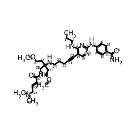 CCCNc1nc(Nc2ccc(C(N)=O)cc2)ncc1C#CCCCNC(CCOC)(CCOC)CNC(=O)/C=C/CN(C)C